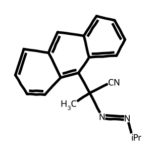 CC(C)/N=N/C(C)(C#N)c1c2ccccc2cc2ccccc12